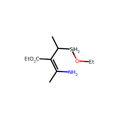 CCO[SiH2]C(C)C(C(=O)OCC)=C(C)N